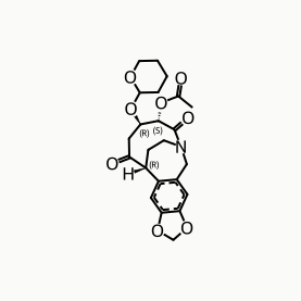 CC(=O)O[C@@H]1C(=O)N2CC[C@@H](C(=O)C[C@H]1OC1CCCCO1)c1cc3c(cc1C2)OCO3